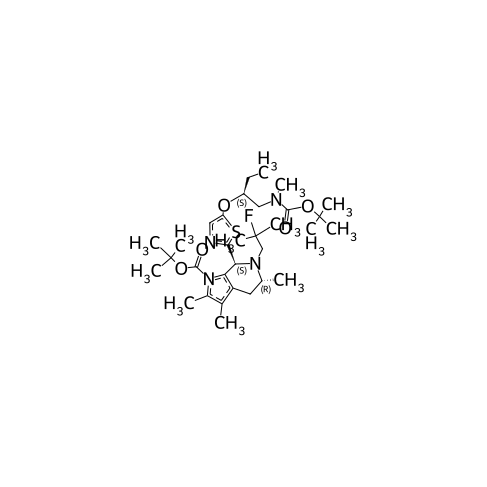 CC[C@@H](CN(C)C(=O)OC(C)(C)C)Oc1cnc([C@@H]2c3c(c(C)c(C)n3C(=O)OC(C)(C)C)C[C@@H](C)N2CC(C)(C)F)s1